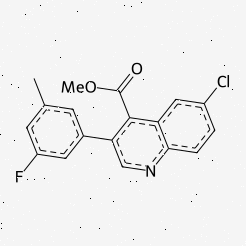 COC(=O)c1c(-c2cc(C)cc(F)c2)cnc2ccc(Cl)cc12